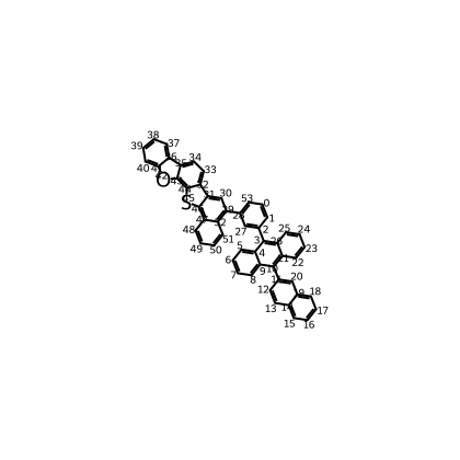 c1cc(-c2c3ccccc3c(-c3ccc4ccccc4c3)c3ccccc23)cc(-c2cc3c4ccc5c6ccccc6oc5c4sc3c3ccccc23)c1